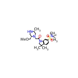 COC[C@H]1CN[C@H](C)CN1CC(=O)N1CC(C)(C)c2ccc(S(=O)(=O)N(C)C)cc21